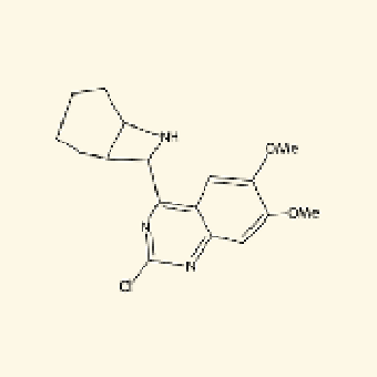 COc1cc2nc(Cl)nc(C3NC4CCCCC43)c2cc1OC